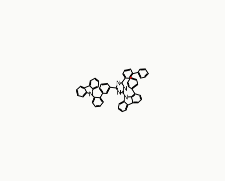 c1ccc(-c2cccc(-c3nc(-c4cccc(-c5ccccc5-n5c6ccccc6c6ccccc65)c4)nc(-n4c5ccccc5c5cccc(-c6ccccc6)c54)n3)c2)cc1